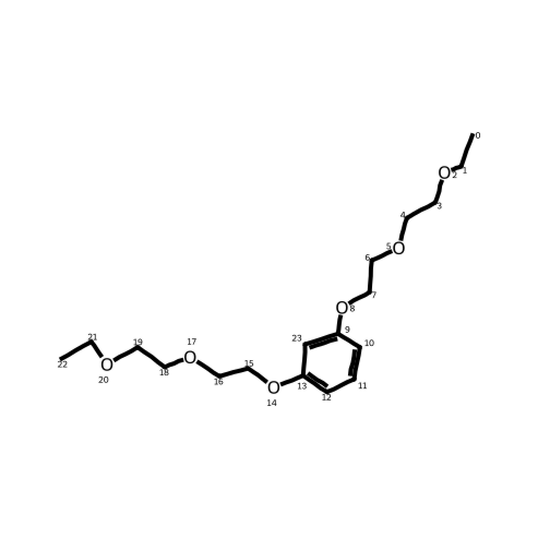 CCOCCOCCOc1cccc(OCCOCCOCC)c1